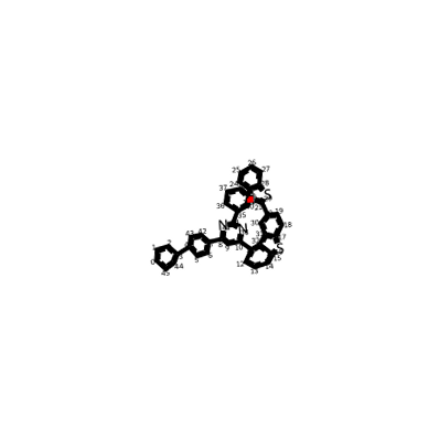 c1ccc(-c2ccc(-c3cc(-c4cccc5sc6ccc(-c7nc8ccccc8s7)cc6c45)nc(-c4ccccc4)n3)cc2)cc1